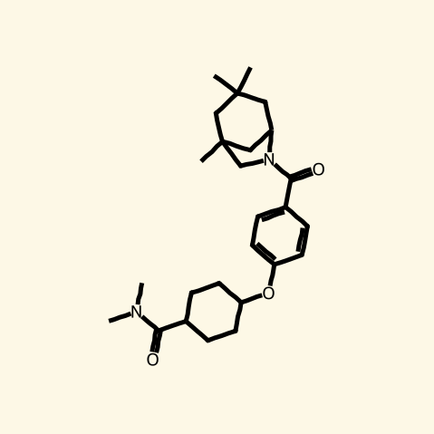 CN(C)C(=O)C1CCC(Oc2ccc(C(=O)N3CC4(C)CC3CC(C)(C)C4)cc2)CC1